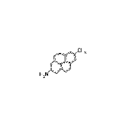 Cc1cc2ccc3cc(N)cc4ccc(c1)c2c34